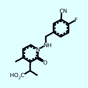 Cc1ccn(NCc2ccc(F)c(C#N)c2)c(=O)c1C(C)C(=O)O